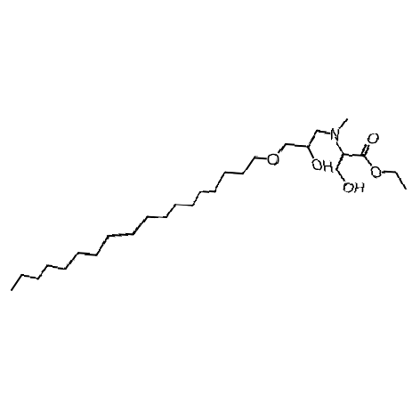 CCCCCCCCCCCCCCCCCCOCC(O)CN(C)C(CO)C(=O)OCC